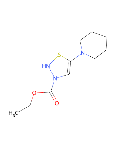 CCOC(=O)N1C=C(N2CCCCC2)SN1